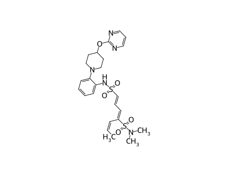 C\C=C/C(=C\C=C\S(=O)(=O)Nc1ccccc1N1CCC(Oc2ncccn2)CC1)S(=O)(=O)N(C)C